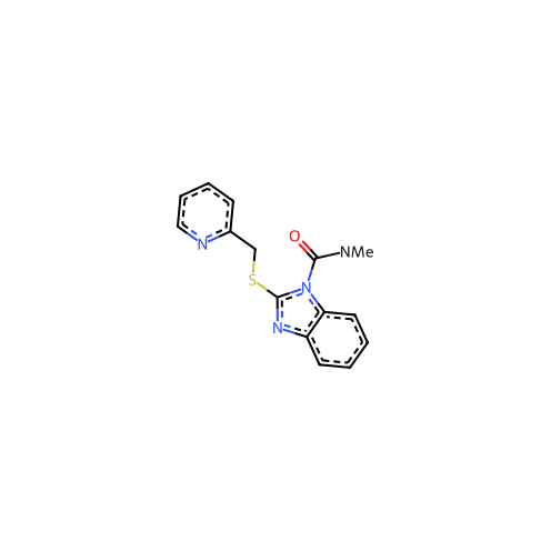 CNC(=O)n1c(SCc2ccccn2)nc2ccccc21